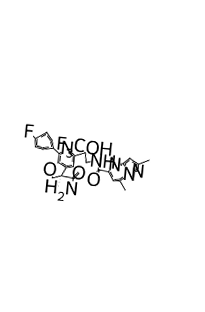 Cc1cc2nc(C(=O)NCC(O)(c3cc4c(c(-c5ccc(F)cc5)n3)OC[C@]4(C)C(N)=O)C(F)(F)F)cc(C)n2n1